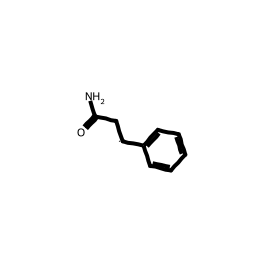 NC(=O)C[CH]c1ccccc1